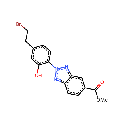 COC(=O)c1ccc2nn(-c3ccc(CCBr)cc3O)nc2c1